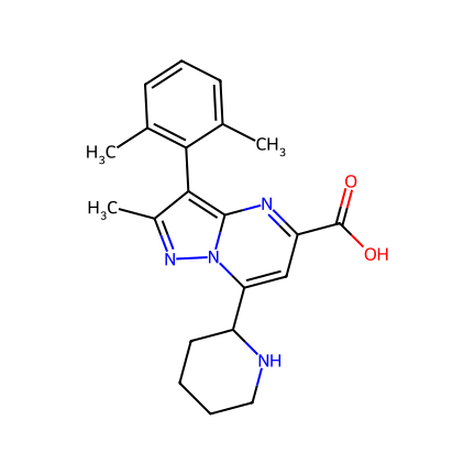 Cc1cccc(C)c1-c1c(C)nn2c(C3CCCCN3)cc(C(=O)O)nc12